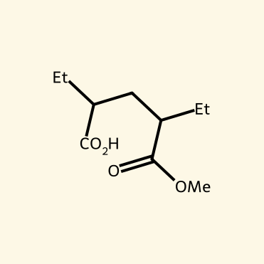 CCC(CC(CC)C(=O)OC)C(=O)O